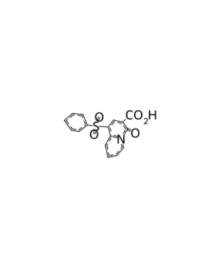 O=C(O)c1cc(S(=O)(=O)c2ccccc2)c2ccccn2c1=O